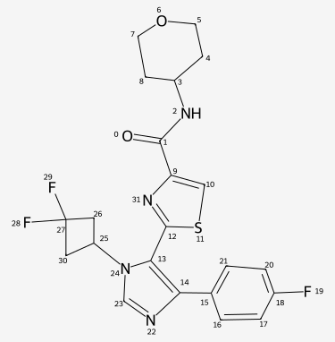 O=C(NC1CCOCC1)c1csc(-c2c(-c3ccc(F)cc3)ncn2C2CC(F)(F)C2)n1